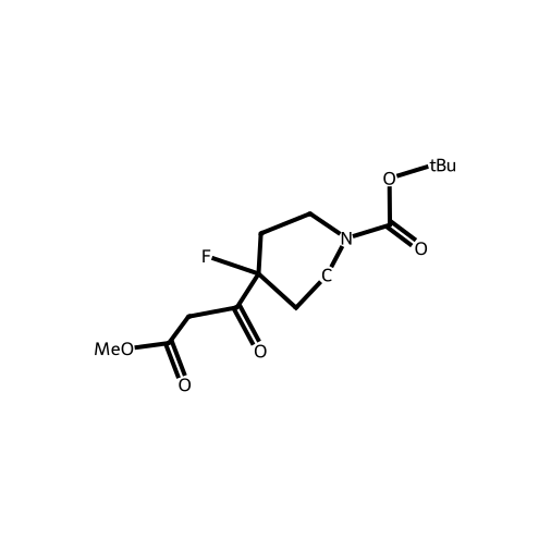 COC(=O)CC(=O)C1(F)CCN(C(=O)OC(C)(C)C)CC1